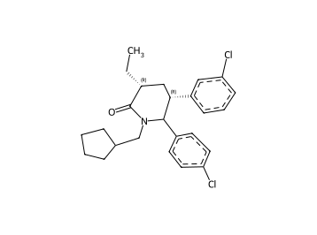 CC[C@@H]1C[C@H](c2cccc(Cl)c2)C(c2ccc(Cl)cc2)N(CC2CCCC2)C1=O